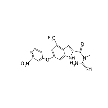 CN(C(=N)N)C(=O)c1cc2c(C(F)(F)F)cc(Oc3ccnc([N+](=O)[O-])c3)cc2[nH]1